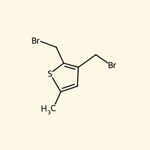 Cc1cc(CBr)c(CBr)s1